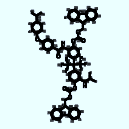 CC(C)Nc1cc(C(c2ccc(OC(=O)OCC3c4ccccc4-c4ccccc43)c(NC(=O)c3ccc(Oc4ccc(C(C)C)cc4)cc3)c2)(C(F)(F)F)C(F)(F)F)ccc1OC(=O)OCC1c2ccccc2-c2ccccc21